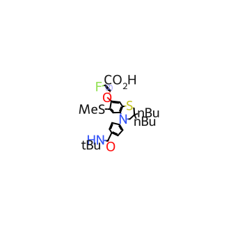 CCCCC1(CCCC)CSc2cc(O/C=C(\F)C(=O)O)c(SC)cc2N(c2ccc(C(=O)NC(C)(C)C)cc2)C1